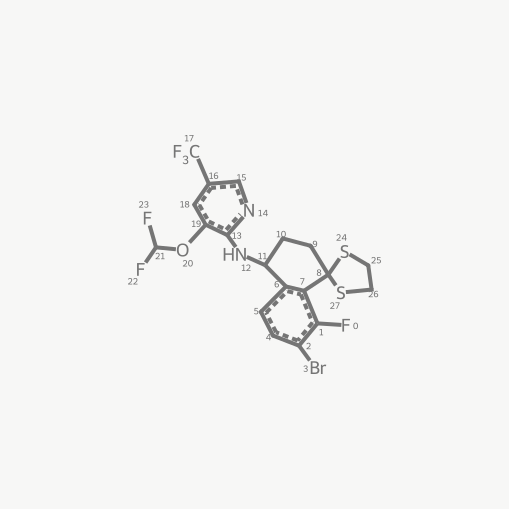 Fc1c(Br)ccc2c1C1(CCC2Nc2ncc(C(F)(F)F)cc2OC(F)F)SCCS1